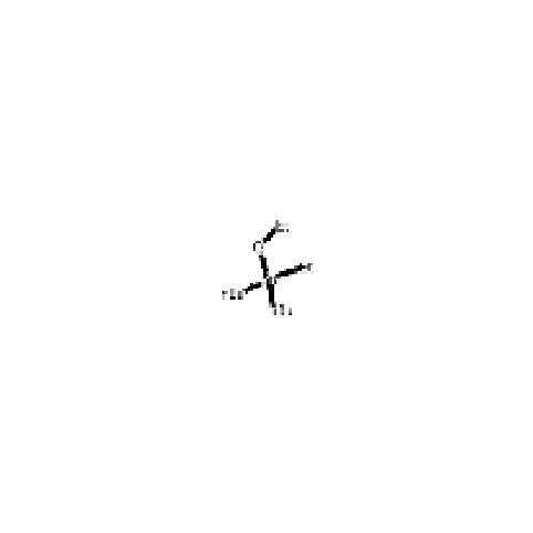 CCC[CH2][Sn]([CH2]C)([CH2]CCC)[O]CC